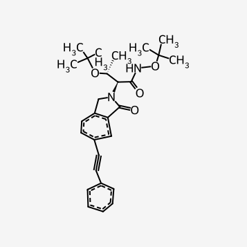 C[C@@H](OC(C)(C)C)[C@@H](C(=O)NOC(C)(C)C)N1Cc2ccc(C#Cc3ccccc3)cc2C1=O